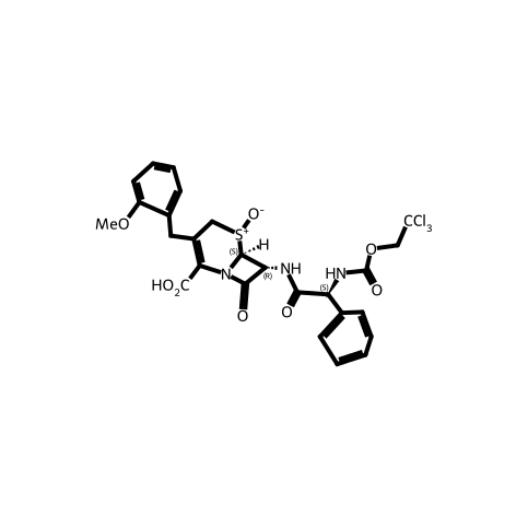 COc1ccccc1CC1=C(C(=O)O)N2C(=O)[C@@H](NC(=O)[C@@H](NC(=O)OCC(Cl)(Cl)Cl)c3ccccc3)[C@@H]2[S+]([O-])C1